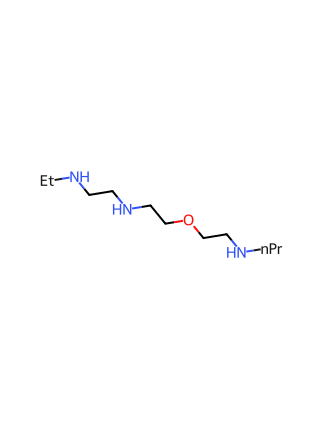 CCCNCCOCCNCCNCC